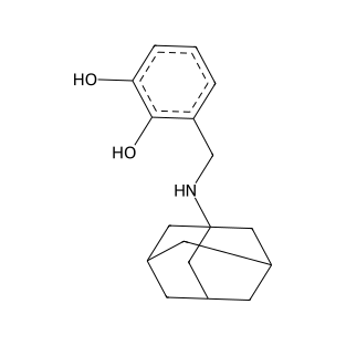 Oc1cccc(CNC23CC4CC(CC(C4)C2)C3)c1O